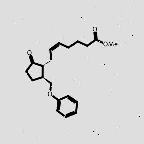 COC(=O)CCC/C=C\C[C@H]1C(=O)CC[C@@H]1COc1ccccc1